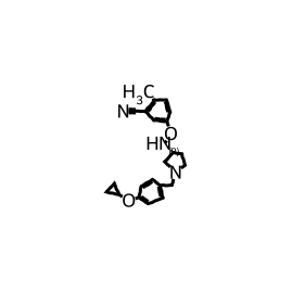 Cc1ccc(ON[C@@H]2CCN(Cc3ccc(OC4CC4)cc3)C2)cc1C#N